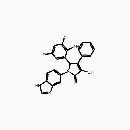 O=C1C(O)=C(c2ccccc2)C(c2cc(F)cc(F)c2P)N1c1ccc2[nH]cnc2c1